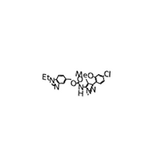 CCn1cnc2cc(COC(=O)Nc3c(C)c(-c4ccc(Cl)cc4OC)nn3C)ccc21